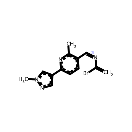 C=C(Br)/N=C\c1ccc(-c2cnn(C)c2)nc1C